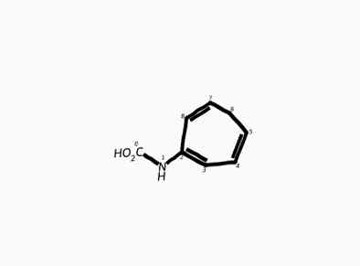 O=C(O)NC1=CC=CCC=C1